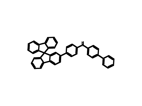 c1ccc(-c2ccc(Nc3ccc(-c4ccc5c(c4)C4(c6ccccc6-c6ccccc64)c4ccccc4-5)cc3)cc2)cc1